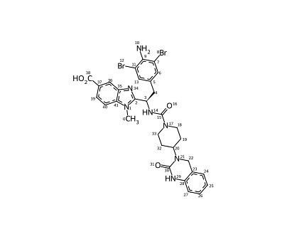 Cn1c([C@@H](Cc2cc(Br)c(N)c(Br)c2)NC(=O)N2CCC(N3Cc4ccccc4NC3=O)CC2)nc2cc(C(=O)O)ccc21